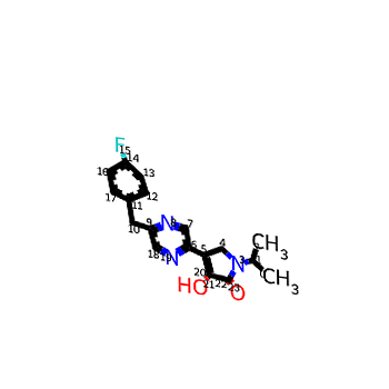 CC(C)N1CC(c2cnc(Cc3ccc(F)cc3)cn2)=C(O)C1=O